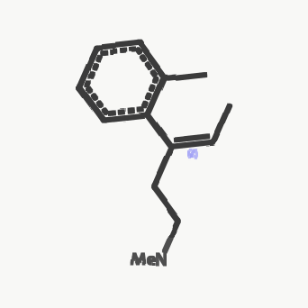 C/C=C(/CCNC)c1ccccc1C